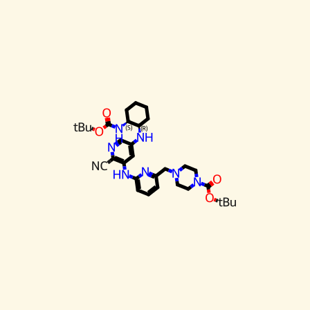 CC(C)(C)OC(=O)N[C@H]1CCCC[C@H]1Nc1cnc(C#N)c(Nc2cccc(CN3CCN(C(=O)OC(C)(C)C)CC3)n2)c1